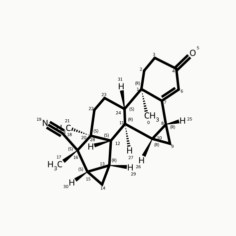 C[C@]12CCC(=O)C=C1[C@@H]1C[C@@H]1[C@H]1[C@@H]3[C@@H]4C[C@@H]4[C@](C)(C#N)[C@@]3(C)CC[C@@H]12